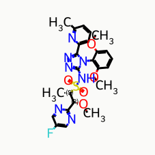 COc1cccc(OC)c1-n1c(NS(=O)(=O)[C@@H](C)[C@H](OC)c2ncc(F)cn2)nnc1-c1cccc(C)n1